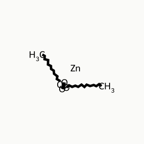 CCCCCCCCCCCCOS(=O)(=O)OCCCCCCCCCCCC.[Zn]